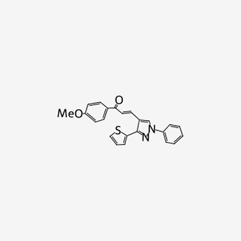 COc1ccc(C(=O)C=Cc2cn(-c3ccccc3)nc2-c2cccs2)cc1